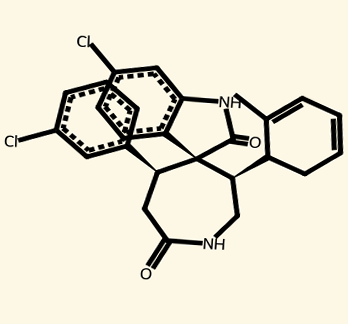 CC1=CC=CCC1[C@H]1CNC(=O)C[C@@H](c2cccc(Cl)c2)[C@]12C(=O)Nc1cc(Cl)ccc12